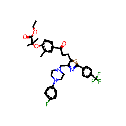 CCOC(=O)C(C)(C)Oc1ccc(C(=O)CCc2sc(-c3ccc(C(F)(F)F)cc3)nc2CN2CCN(c3ccc(F)cc3)CC2)cc1C